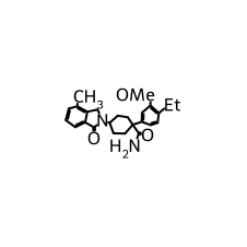 CCc1ccc(C2(C(N)=O)CCC(N3Cc4c(C)cccc4C3=O)CC2)cc1OC